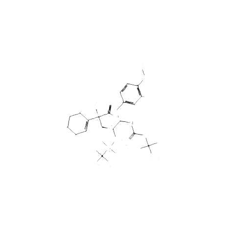 COc1ccc(C[C@H](NC(=O)OC(C)(C)C)[C@H](C[C@@](C)(C(=O)O)C2=CCCCC2)O[Si](C)(C)C(C)(C)C)cc1